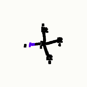 C[CH2][Ti]([I])([CH2]C)[CH2]C